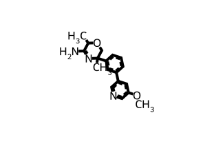 COc1cncc(-c2cccc(C3(C)COC(C)C(N)=N3)c2)c1